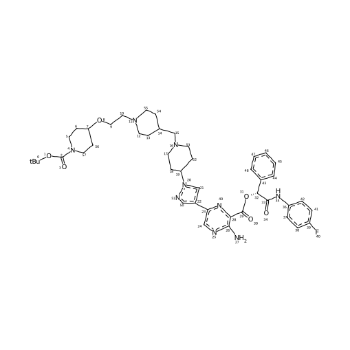 CC(C)(C)OC(=O)N1CCC(OCCN2CCC(CN3CCC(n4cc(-c5cnc(N)c(C(=O)O[C@@H](C(=O)Nc6ccc(F)cc6)c6ccccc6)n5)cn4)CC3)CC2)CC1